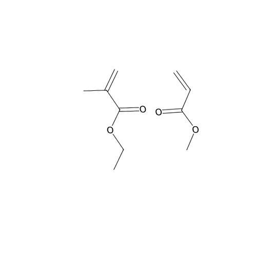 C=C(C)C(=O)OCC.C=CC(=O)OC